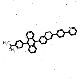 CC(C)c1ccc(-c2c3ccccc3c(-c3ccc4c(c3)CCC(c3ccc(-c5ccccn5)cc3)=C4)c3ccccc23)cc1